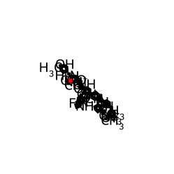 COc1cc(CN2CCN(C3CC4(CCN(c5ccc(C(=O)NS(=O)(=O)c6cnc(NC[C@H]7CC[C@](C)(O)CC7)c([NH+](C)[O-])c6)c(Oc6cc7c(F)c[nH]c7nc6OC)c5)CC4)C3)[C@H](c3ccccc3C(C)C)C2)cc(F)n1